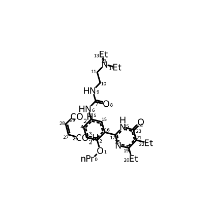 CCCOc1ccc(NC(=O)NCCN(CC)CC)cc1-c1nc(CC)c(CC)c(=O)[nH]1.O=C(O)/C=C\C(=O)O